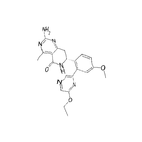 CCOc1cncc(-c2cc(OC)ccc2[C@H]2Cc3nc(N)nc(C)c3C(=O)N2)n1